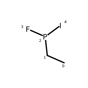 CCP(F)I